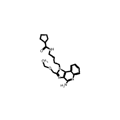 CCOCc1nc2c(N)nc3ccccc3c2n1CCCCNC(=O)C1CCCC1